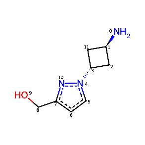 N[C@H]1C[C@H](n2ccc(CO)n2)C1